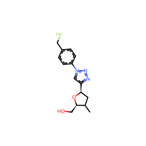 CC1C[C@H](c2cn(-c3ccc(C[18F])cc3)nn2)O[C@@H]1CO